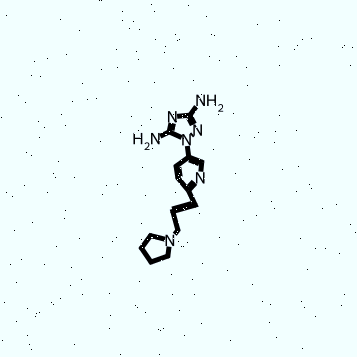 Nc1nc(N)n(-c2ccc(C=CCN3CCCC3)nc2)n1